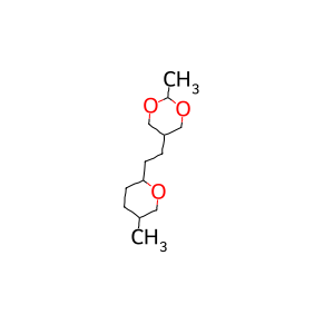 CC1CCC(CCC2COC(C)OC2)OC1